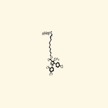 CCCCCCC/C=C/CCCCCCCCOC(=O)c1nn(-c2ccc(Cl)cc2Cl)c(-c2ccc(Cl)cc2)c1C